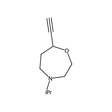 C#CC1CCN(C(C)C)CCO1